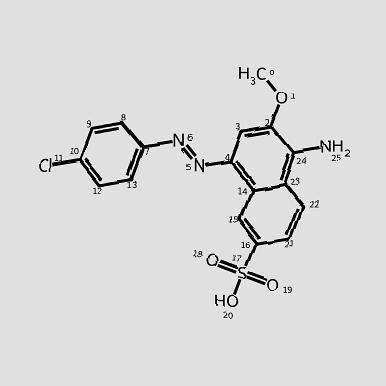 COc1cc(N=Nc2ccc(Cl)cc2)c2cc(S(=O)(=O)O)ccc2c1N